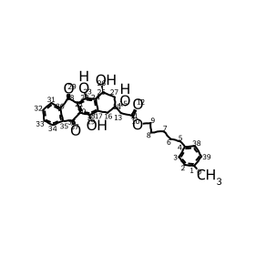 Cc1ccc(CCCCCOC(=O)C[C@@]2(O)Cc3c(O)c4c(c(O)c3[C@@H](O)C2)C(=O)c2ccccc2C4=O)cc1